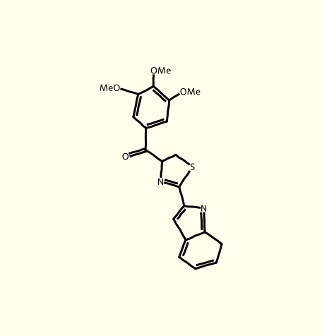 COc1cc(C(=O)C2CSC(C3=CC4=CC=CCC4=N3)=N2)cc(OC)c1OC